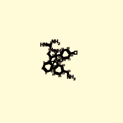 N=C(N)N1CC(c2ccccc2)C(c2ccc(Cl)cc2)(S(=O)(=O)c2cccc(CN)c2)N1